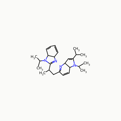 CC(C)C1=CC2N=C(CC(C)C3=NC4C=CC=CC4N3C(C)C)C=CC2N1C(C)C